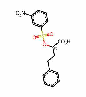 O=C(O)[C@@H](CCc1ccccc1)OS(=O)(=O)c1cccc([N+](=O)[O-])c1